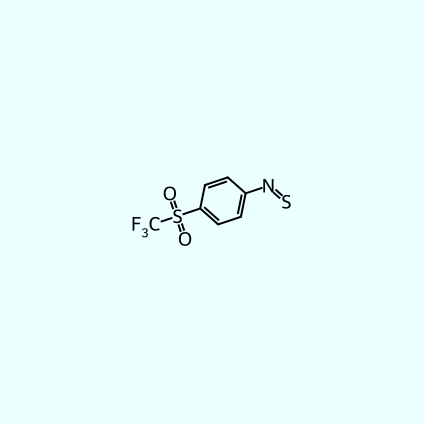 O=S(=O)(c1ccc(N=S)cc1)C(F)(F)F